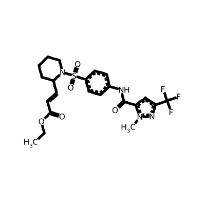 CCOC(=O)C=CC1CCCCN1S(=O)(=O)c1ccc(NC(=O)c2cc(C(F)(F)F)nn2C)cc1